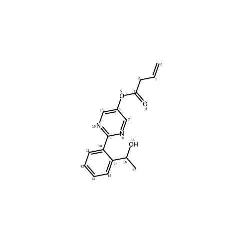 C=CCC(=O)Oc1cnc(-c2ccccc2C(C)O)nc1